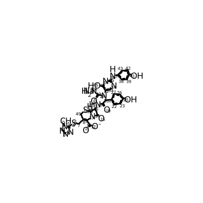 Cn1nnnc1SCC1=C(C(=O)[O-])N2C(=O)C(NC(=O)C(c3ccc(O)cc3)N(C(N)=O)c3cnc(Nc4ccc(O)cc4)nc3O)[C@@H]2SC1.[Na+]